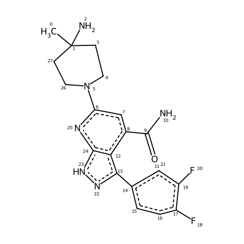 CC1(N)CCN(c2cc(C(N)=O)c3c(-c4ccc(F)c(F)c4)n[nH]c3n2)CC1